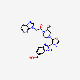 C[C@@H]1CN(c2scnc2-c2nc3ccc(CO)cc3[nH]2)CCN1C(=O)Cn1cnc2cccnc21